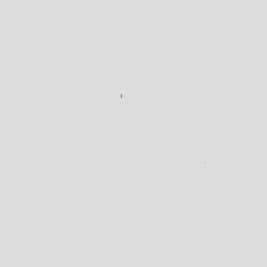 [CH2]CCCc1ccc(Cl)cc1Cl